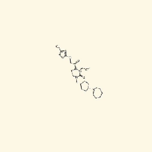 COC[C@H]1C(=O)N(C[C@H]2CC[C@@H](N3CCCCCC3)CC2)CCN1C(=O)COc1ccc(Cl)s1